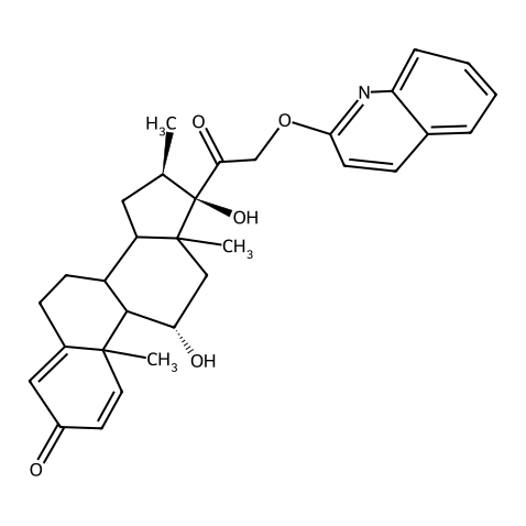 C[C@@H]1CC2C3CCC4=CC(=O)C=CC4(C)C3[C@@H](O)CC2(C)[C@@]1(O)C(=O)COc1ccc2ccccc2n1